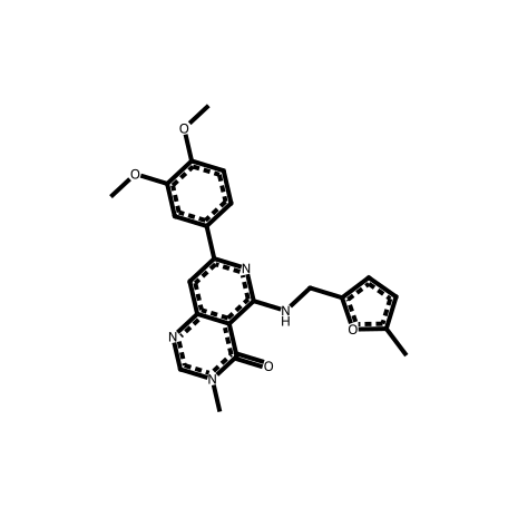 COc1ccc(-c2cc3ncn(C)c(=O)c3c(NCc3ccc(C)o3)n2)cc1OC